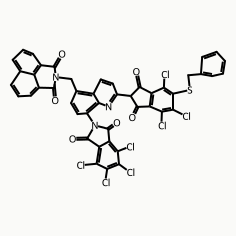 O=C1c2c(Cl)c(Cl)c(SCc3ccccc3)c(Cl)c2C(=O)C1c1ccc2c(CN3C(=O)c4cccc5cccc(c45)C3=O)ccc(N3C(=O)c4c(Cl)c(Cl)c(Cl)c(Cl)c4C3=O)c2n1